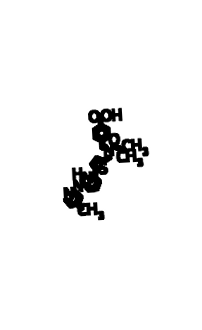 Cc1ccnc(Nc2cccc(-c3ccc(CN(Cc4ccc(C(=O)O)cc4)C(=O)C(C)C)s3)n2)c1